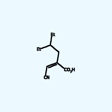 CCC(CC)CC(=CC#N)C(=O)O